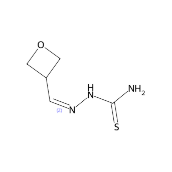 NC(=S)N/N=C\C1COC1